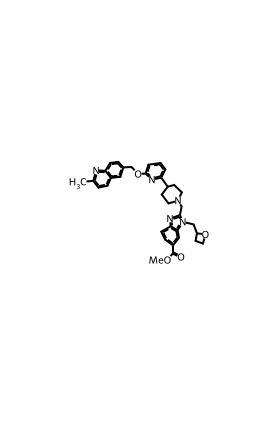 COC(=O)c1ccc2nc(CN3CCC(c4cccc(OCc5ccc6nc(C)ccc6c5)n4)CC3)n(CC3CCO3)c2c1